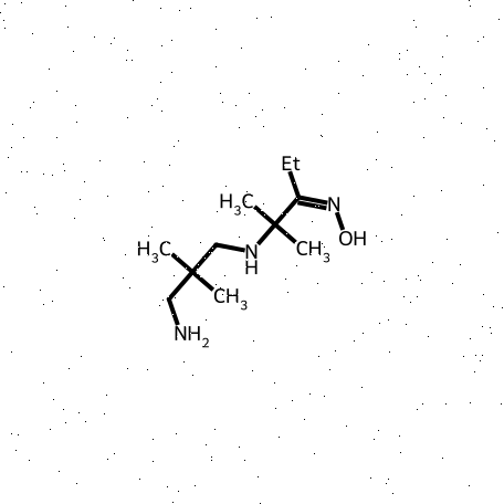 CCC(=NO)C(C)(C)NCC(C)(C)CN